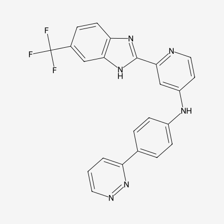 FC(F)(F)c1ccc2nc(-c3cc(Nc4ccc(-c5cccnn5)cc4)ccn3)[nH]c2c1